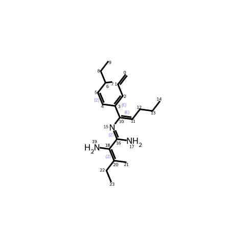 C=C/C=C(\C=C/C(C)CC)C(=C\CCC)/N=C(N)/C(N)=C(\C)CC